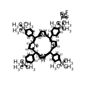 C[N+](C)(C)c1ccc(-c2c3nc(c(-c4ccc([N+](C)(C)C)cc4)c4ccc([nH]4)c(-c4ccc([N+](C)(C)C)cc4)c4nc(c(-c5ccc([N+](C)(C)C)cc5)c5ccc2[nH]5)C=C4)C=C3)cc1.F[B-](F)(F)F